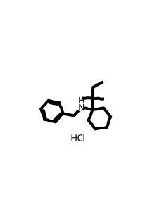 CCC(C)(C)C1(NCc2ccccc2)CCCCC1.Cl